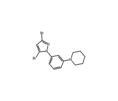 Brc1cc(Br)n(-c2cccc(N3CCCCC3)c2)n1